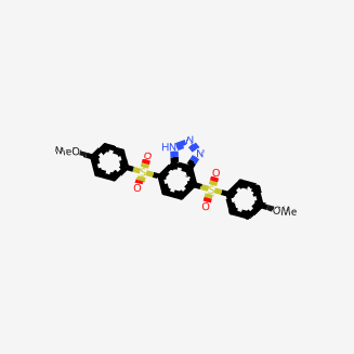 COc1ccc(S(=O)(=O)c2ccc(S(=O)(=O)c3ccc(OC)cc3)c3[nH]nnc23)cc1